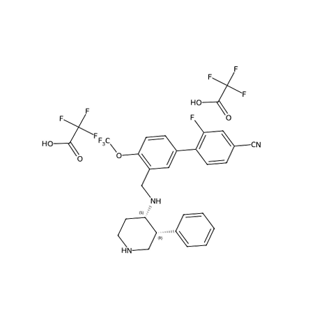 N#Cc1ccc(-c2ccc(OC(F)(F)F)c(CN[C@H]3CCNC[C@H]3c3ccccc3)c2)c(F)c1.O=C(O)C(F)(F)F.O=C(O)C(F)(F)F